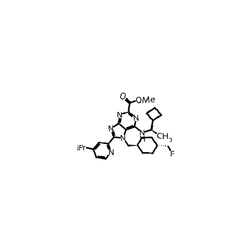 COC(=O)c1nc(N[C@H](C)C2CCC2)c2c(n1)nc(-c1cc(C(C)C)ccn1)n2C[C@H]1CC[C@H](CF)CC1